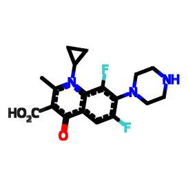 Cc1c(C(=O)O)c(=O)c2cc(F)c(N3CCNCC3)c(F)c2n1C1CC1